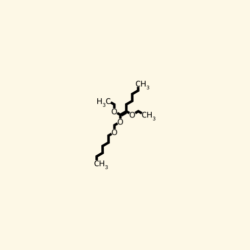 CCCCCCOCOC(OCC)=C(CCCCC)OCC